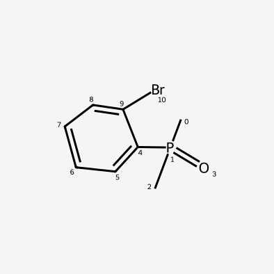 CP(C)(=O)c1ccccc1Br